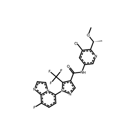 CO[C@H](C)c1ncc(NC(=O)c2cnn(-c3ccc(F)c4nccn34)c2C(F)(F)F)cc1Cl